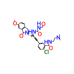 COc1ccc2c(c1)C(=O)N(C[C@@H](C#Cc1ccc(Cl)c(C(=O)NCCN(C)C)c1)NC(=O)NC=O)C2